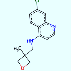 CC1(CNc2ccnc3cc(Cl)ccc23)COC1